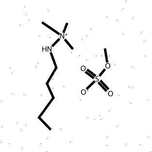 CCCCCN[N+](C)(C)C.COS(=O)(=O)[O-]